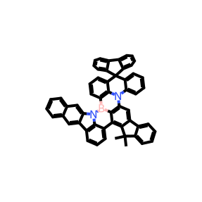 CC1(C)c2ccccc2-c2cc3c4c(c21)-c1cccc2c5cc6ccccc6cc5n(c12)B4c1cccc2c1N3c1ccccc1C21c2ccccc2-c2ccccc21